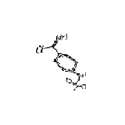 CS(=O)(=O)Nc1ccc(C(=N)Cl)cc1